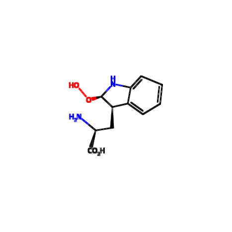 N[C@@H](C[C@@H]1c2ccccc2N[C@@H]1OO)C(=O)O